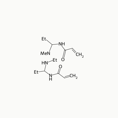 C=CC(=O)NC(CC)NC.C=CC(=O)NC(CC)NCC